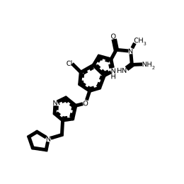 CN(C(=N)N)C(=O)c1cc2c(Cl)cc(Oc3cncc(CN4CCCC4)c3)cc2[nH]1